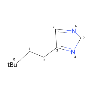 CC(C)(C)CCC1=NCN=C1